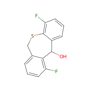 OC1c2cccc(F)c2SCc2cccc(F)c21